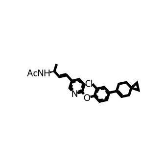 CC(=O)N[C@@H](C)/C=C/c1ccc(Oc2ccc(C3=CCC4(CC3)CC4)cc2Cl)nc1